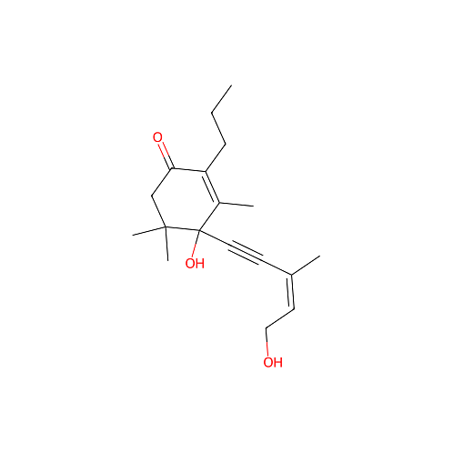 CCCC1=C(C)C(O)(C#C/C(C)=C\CO)C(C)(C)CC1=O